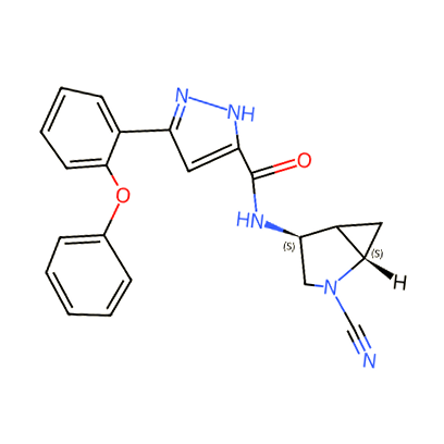 N#CN1C[C@@H](NC(=O)c2cc(-c3ccccc3Oc3ccccc3)n[nH]2)C2C[C@@H]21